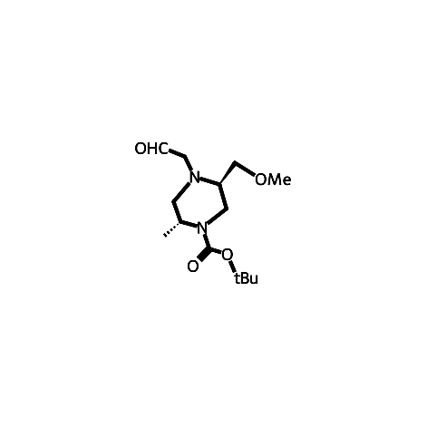 COC[C@H]1CN(C(=O)OC(C)(C)C)[C@H](C)CN1CC=O